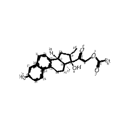 CCC(=O)OCC(=O)[C@@]1(O)[C@H](C)C[C@H]2c3ccc4cc(O)ccc4c3CC[C@@]21C